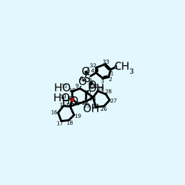 Cc1ccc(S(=O)(=O)O[C@H]2[C@H](O)[C@]3(O)C4(CCCCC4)[C@]3(O)[C@]3(O)C4(CCCCC4)[C@@]23O)cc1